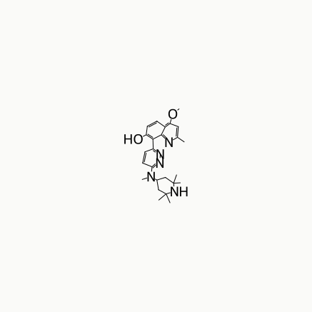 COc1cc(C)nc2c(-c3ccc(N(C)C4CC(C)(C)NC(C)(C)C4)nn3)c(O)ccc12